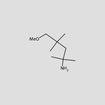 COCC(C)(C)CC(C)(C)N